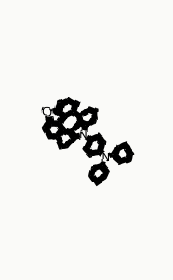 c1ccc(N(c2ccccc2)c2ccc(-n3c4cccc5c4c4c6c(ccc7oc8cccc-5c8c76)ccc43)cc2)cc1